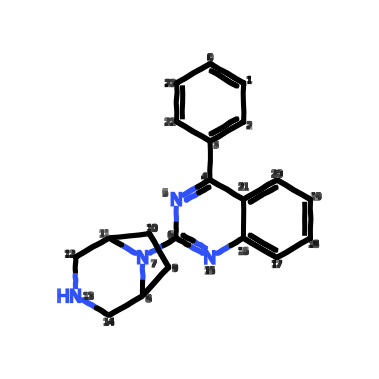 c1ccc(-c2nc(N3C4CCC3CNC4)nc3ccccc23)cc1